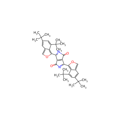 CC(C)(C)c1cc(C(C)(C)C)c2c(-c3nc(=O)c4c(-c5occ6cc(C(C)(C)C)cc(C(C)(C)C)c56)nc(=O)c3=4)occ2c1